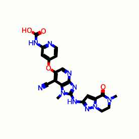 CN1CCn2nc(Nc3nc4ncc(Oc5ccnc(NC(=O)O)c5)c(C#N)c4n3C)cc2C1=O